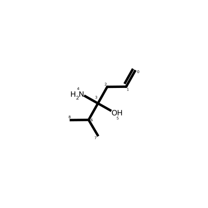 C=CCC(N)(O)C(C)C